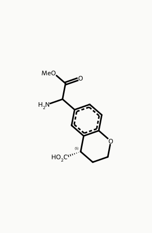 COC(=O)C(N)c1ccc2c(c1)[C@@H](C(=O)O)CCO2